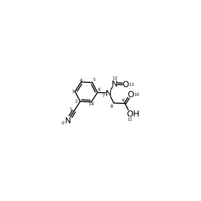 N#Cc1cccc(N(CC(=O)O)N=O)c1